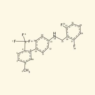 Cc1ccc(C(F)(F)F)c(-c2ccc(NCc3c(F)cccc3F)cc2)c1